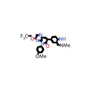 CN/C=C1/C=C(c2cc3ncc(OCC(F)(F)F)nc3n(-c3ccc(OC)cc3)c2=O)C=CC1=N